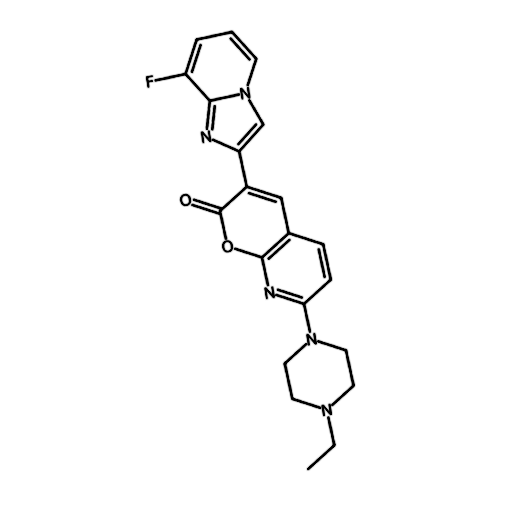 CCN1CCN(c2ccc3cc(-c4cn5cccc(F)c5n4)c(=O)oc3n2)CC1